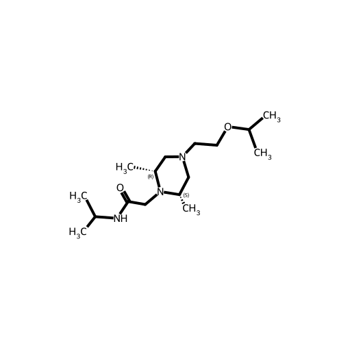 CC(C)NC(=O)CN1[C@H](C)CN(CCOC(C)C)C[C@@H]1C